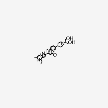 CCc1nc(C)cn2nc(-c3cc(=O)n4cc(C5CCN(C(CO)CO)CC5)ccc4n3)cc12